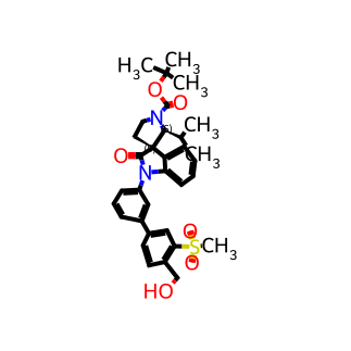 CC(C)[C@@H]1N(C(=O)OC(C)(C)C)CC[C@@]12C(=O)N(c1cccc(-c3ccc(CO)c(S(C)(=O)=O)c3)c1)c1ccccc12